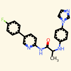 CC(Nc1ccc(-n2ccnc2)cc1)C(=O)Nc1ccc(-c2ccc(F)cc2)cn1